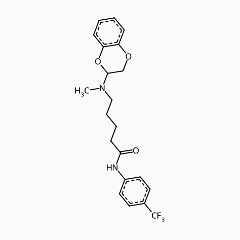 CN(CCCCC(=O)Nc1ccc(C(F)(F)F)cc1)C1COc2ccccc2O1